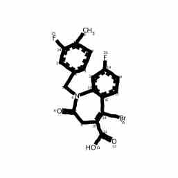 Cc1ccc(CN2C(=O)CC(C(=O)O)=C(Br)c3ccc(F)cc32)cc1F